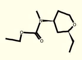 CCOC(=O)N(C)[C@H]1CCO[C@@H](CC)C1